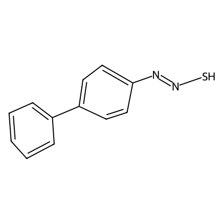 SN=Nc1ccc(-c2ccccc2)cc1